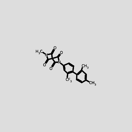 Cc1ccc(-c2ccc(N3C(=O)C4(C(=O)N(C)C4=O)C3=O)cc2C(F)(F)F)c(C)c1